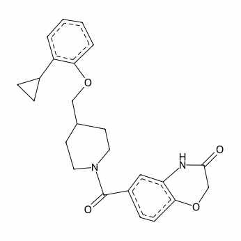 O=C1COc2ccc(C(=O)N3CCC(COc4ccccc4C4CC4)CC3)cc2N1